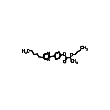 CCCCCc1cnc(-c2ccc(OC(=O)C(C)OCCCC)cc2)nc1